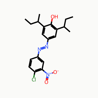 CCC(C)c1cc(N=Nc2ccc(Cl)c([N+](=O)[O-])c2)cc(C(C)CC)c1O